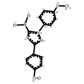 CCN(CC)c1nc(-c2ccc(C=O)cc2)nn1-c1ccc(OC(F)(F)F)cc1